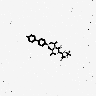 CC1C[C@@H]([C@@H]2OC(C)(C)OC2=O)C(=O)N2C(C)CN(c3ccc(-c4ccc(F)cc4)cc3)CC12